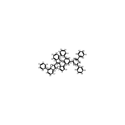 C1=CC23Cc4c(oc5c(-c6ccccc6)cccc45)-c4c2n(c2ccccc42)-c2c(cc(-c4nc(-c5ccccc5)nc(-c5ccccc5)n4)cc2-c2ccccc2)C3=C1